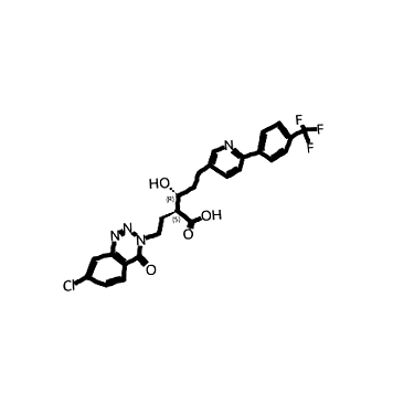 O=C(O)[C@@H](CCn1nnc2cc(Cl)ccc2c1=O)[C@H](O)CCc1ccc(-c2ccc(C(F)(F)F)cc2)nc1